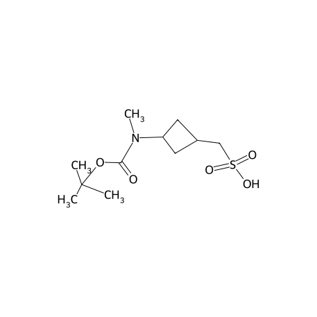 CN(C(=O)OC(C)(C)C)C1CC(CS(=O)(=O)O)C1